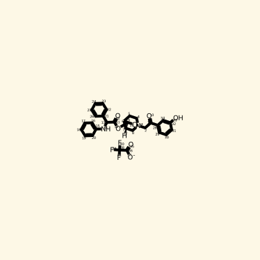 O=C(C[N+]12CCC(CC1)[C@@H](OC(=O)C(Nc1ccccc1)c1ccccc1)C2)c1cccc(O)c1.O=C([O-])C(F)(F)F